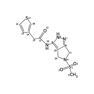 CS(=O)(=O)N1Cc2n[nH]c(NC(=O)Cc3ccsc3)c2C1